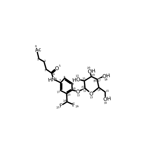 CC(=O)CCCC(=O)Nc1ccc(O[C@@H]2OC(CO)[C@H](O)C(O)C2O)c(C(F)F)c1